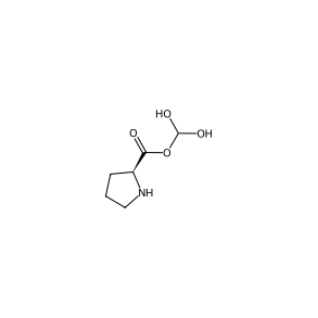 O=C(OC(O)O)[C@@H]1CCCN1